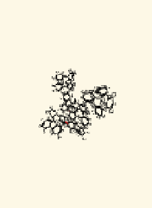 c1ccc2c(c1)-c1ccccc1C21c2ccccc2-c2c(-c3ccc4c5ccc(-c6cccc7c6-c6ccccc6C76c7ccccc7-c7ccccc76)cc5c5nc6c(-c7cccc8c7-c7ccccc7C87c8ccccc8-c8ccccc87)sc(-c7cccc8c7-c7ccccc7C87c8ccccc8-c8ccccc87)c6nc5c4c3)cccc21